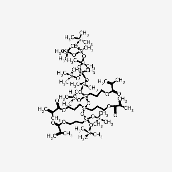 C=C(C)C(=O)OCCC[Si](CCCOC(=O)C(=C)C)(O[Si](CCCOC(=O)C(=C)C)(O[Si](C)(C)C)O[Si](C)(C)C)O[Si](CCCOC(=O)C(=C)C)(O[Si](C)(C)C)O[Si](C)(C)O[Si](C)(O[Si](C)(C)C)O[Si](C)(C)O[Si](C)(O[Si](C)(C)C)O[Si](C)(C)C